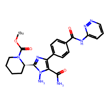 CC(C)(C)OC(=O)N1CCCC[C@H]1c1nc(-c2ccc(C(=O)Nc3cccnn3)cc2)c(C(N)=O)n1N